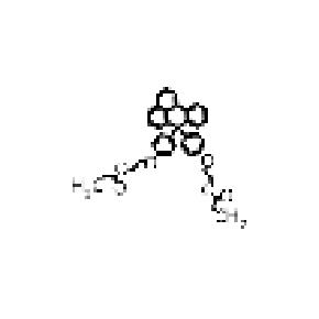 C=CC(=O)OCCOc1ccc(C2(c3ccc(OCCOC(=O)C=C)cc3)c3ccccc3-c3cccc4cccc2c34)cc1